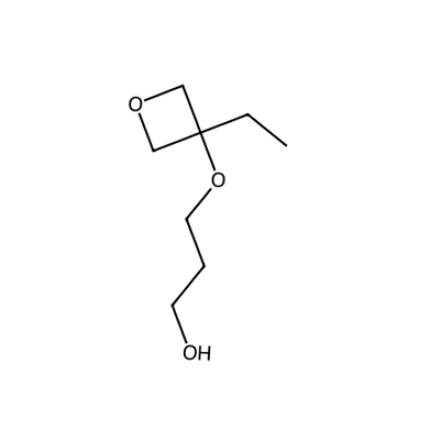 CCC1(OCCCO)COC1